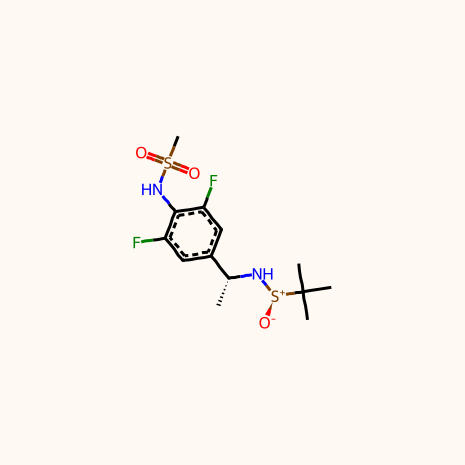 C[C@@H](N[S@+]([O-])C(C)(C)C)c1cc(F)c(NS(C)(=O)=O)c(F)c1